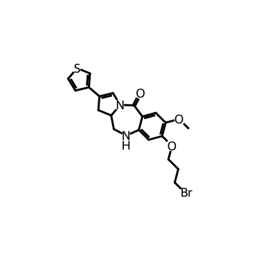 COc1cc2c(cc1OCCCBr)NCC1CC(c3ccsc3)=CN1C2=O